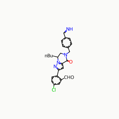 CCCCC1CN(Cc2ccc(C=N)cc2)C(=O)c2cc(-c3ccc(Cl)cc3C=O)nn21